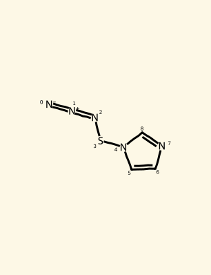 [N-]=[N+]=NSn1ccnc1